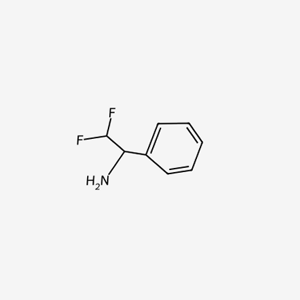 NC(c1ccccc1)C(F)F